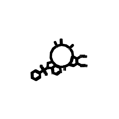 COc1cc2cc(c1OC)CN(C)CC(=O)N(C)CCCC1CN(S(=O)(=O)c3ccccc3)c3ncnc(c31)N2